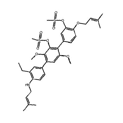 CCc1cc(-c2cc(OC)c(-c3ccc(OCC=C(C)C)c(OS(C)(=O)=O)c3)c(OS(C)(=O)=O)c2OC)ccc1NCC=C(C)C